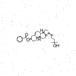 C[C@H](CCC(C)(C)O)[C@H]1CC[C@H]2C3CC=C4C[C@@H](OC(=O)c5ccccc5)CC[C@]4(C)[C@H]3CC[C@]12C